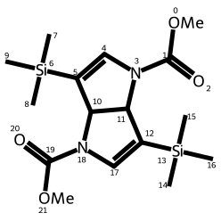 COC(=O)N1C=C([Si](C)(C)C)C2C1C([Si](C)(C)C)=CN2C(=O)OC